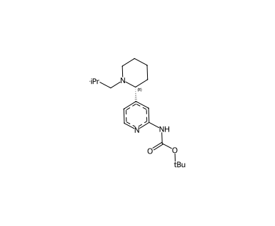 C[C](C)CN1CCCC[C@@H]1c1ccnc(NC(=O)OC(C)(C)C)c1